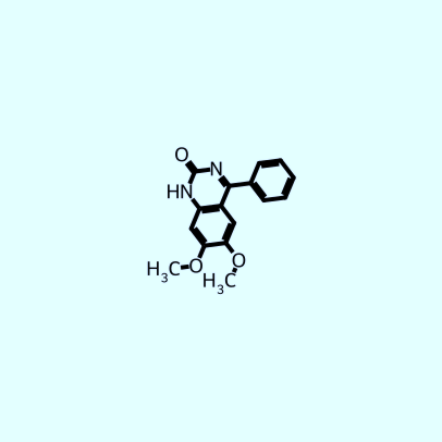 COc1cc2[nH]c(=O)nc(-c3ccccc3)c2cc1OC